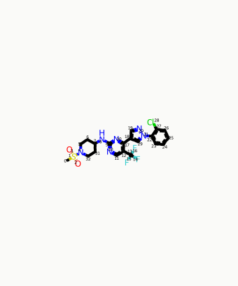 CS(=O)(=O)N1CCC(Nc2ncc(C(F)(F)F)c(-c3cnn(-c4ccccc4Cl)c3)n2)CC1